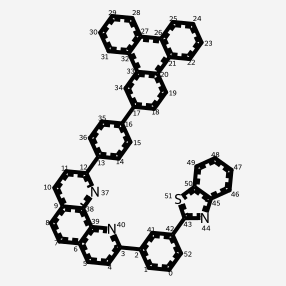 c1cc(-c2ccc3ccc4ccc(-c5ccc(-c6ccc7c8ccccc8c8ccccc8c7c6)cc5)nc4c3n2)cc(-c2nc3ccccc3s2)c1